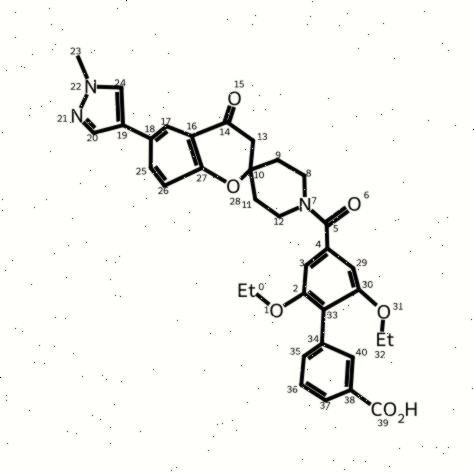 CCOc1cc(C(=O)N2CCC3(CC2)CC(=O)c2cc(-c4cnn(C)c4)ccc2O3)cc(OCC)c1-c1cccc(C(=O)O)c1